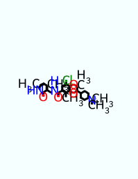 Cc1cc(C)c(CNC(=O)c2cc(Cl)c3c(c2C)OC(C2CCC(N(C)C)CC2)C(C)O3)c(=O)[nH]1